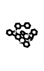 c1ccc(-c2cccc(-n3c4ccccc4c4cc5c(cc43)C3(c4ccccc4S5)c4ccccc4-n4c5ccccc5c5cccc3c54)c2)cc1